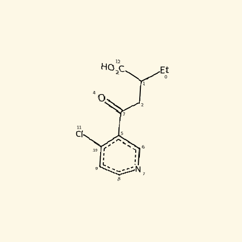 CCC(CC(=O)c1cnccc1Cl)C(=O)O